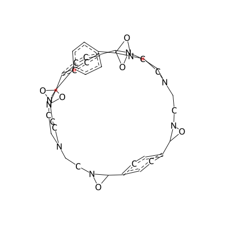 c1cc2ccc1C1ON1CCN1CCN3OC3c3ccc(cc3)C3ON3CCN(CCN3OC23)CCN2OC2c2ccc(cc2)C2ON2CC1